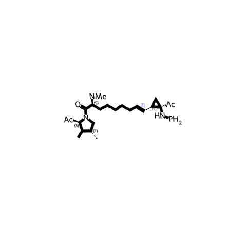 CN[C@@H](CCCCC/C=C/[C@@H]1C[C@]1(NP)C(C)=O)C(=O)N1C[C@H](C)C(C)[C@H]1C(C)=O